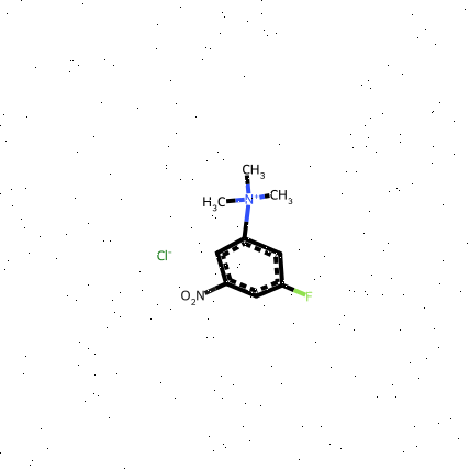 C[N+](C)(C)c1cc(F)cc([N+](=O)[O-])c1.[Cl-]